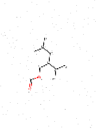 CC(C)CC(CO[C]=O)C(C)C